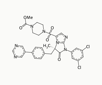 COC(=O)N1CCN(S(=O)(=O)c2cnc3n2[C@](C)(Cc2ccc(-c4cncnc4)cc2)C(=O)N3c2cc(Cl)cc(Cl)c2)CC1